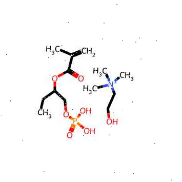 C=C(C)C(=O)OC(CC)COP(=O)(O)O.C[N+](C)(C)CCO